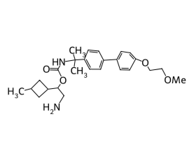 COCCOc1ccc(-c2ccc(C(C)(C)NC(=O)OC(CN)C3CC(C)C3)cc2)cc1